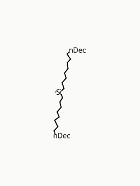 CCCCCCCCCCCCCCCCCC[Si]CCCCCCCCCCCCCCCCCC